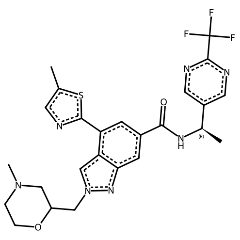 Cc1cnc(-c2cc(C(=O)N[C@H](C)c3cnc(C(F)(F)F)nc3)cc3nn(CC4CN(C)CCO4)cc23)s1